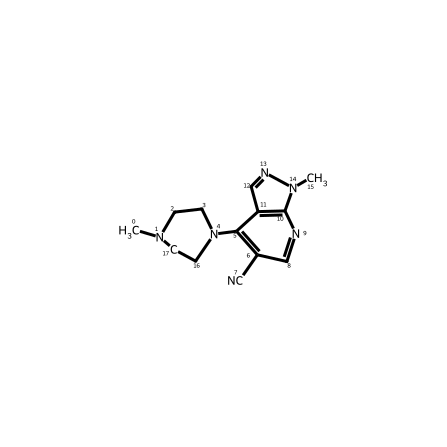 CN1CCN(c2c(C#N)cnc3c2cnn3C)CC1